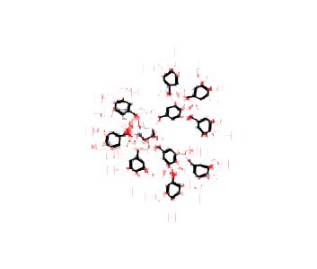 O=C[C@H](OC(=O)c1cc(OC(=O)c2cc(O)c(O)c(O)c2)c(OC(=O)c2cc(O)c(O)c(O)c2)c(OC(=O)c2cc(O)c(O)c(O)c2)c1)[C@@H](OC(=O)c1cc(O)c(OC(=O)c2cc(O)c(O)c(O)c2)c(OC(=O)c2cc(O)c(O)c(O)c2)c1)[C@H](OC(=O)c1cc(O)c(O)c(O)c1)[C@@H](COC(=O)c1cc(O)c(O)c(O)c1)OC(=O)c1cc(O)c(O)c(O)c1